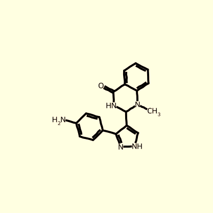 CN1c2ccccc2C(=O)NC1c1c[nH]nc1-c1ccc(N)cc1